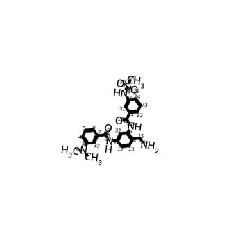 CN(C)c1cccc(C(=O)Nc2ccc(CN)c(NC(=O)c3cccc(NS(C)(=O)=O)c3)c2)c1